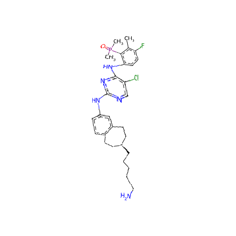 Cc1c(F)ccc(Nc2nc(Nc3ccc4c(c3)CC[C@@H](CCCCCN)CC4)ncc2Cl)c1P(C)(C)=O